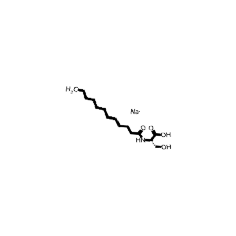 CCCCCCCCCCCC(=O)N[C@@H](CO)C(=O)O.[Na]